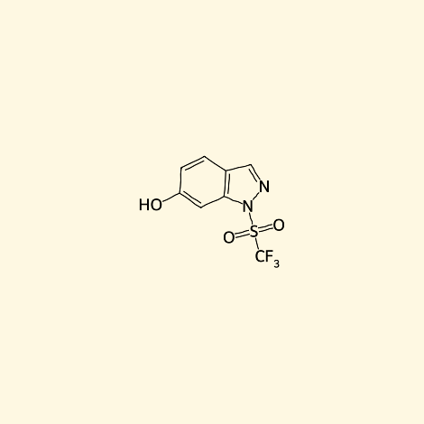 O=S(=O)(n1ncc2ccc(O)cc21)C(F)(F)F